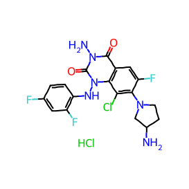 Cl.NC1CCN(c2c(F)cc3c(=O)n(N)c(=O)n(Nc4ccc(F)cc4F)c3c2Cl)C1